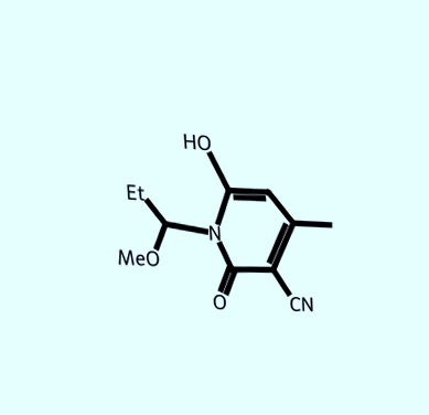 CCC(OC)n1c(O)cc(C)c(C#N)c1=O